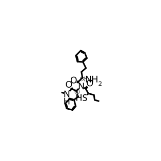 CCCC(S)C(=O)N(C(=O)[C@@H](N)CCc1ccccc1)[C@@H](Cc1ccccc1)C(=O)NC